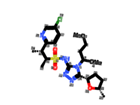 COCCC(OC)n1c(NS(=O)(=O)[C@@H](C)[C@H](C)c2ccc(Cl)cn2)nnc1[C@@H]1CC[C@H](C)O1